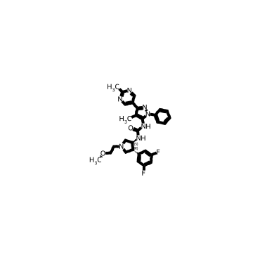 COCCN1C[C@@H](NC(=O)Nc2c(C)c(-c3cnc(C)nc3)nn2-c2ccccc2)[C@H](c2cc(F)cc(F)c2)C1